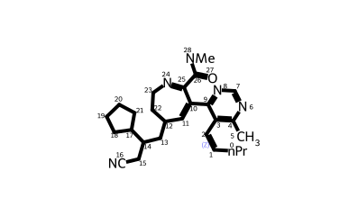 CCC/C=C\c1c(C)ncnc1C1=CC(CC(CC#N)C2CCCC2)CCN=C1C(=O)NC